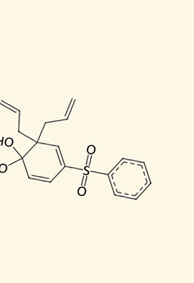 C=CCC1(CC=C)C=C(S(=O)(=O)c2ccccc2)C=CC1(O)O